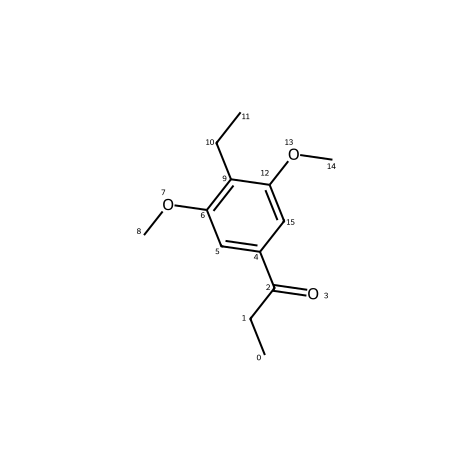 CCC(=O)c1cc(OC)c(CC)c(OC)c1